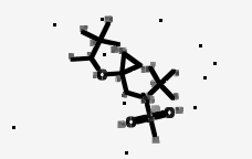 CC(OC1(CN(C(C)(C)C)S(C)(=O)=O)CC1)C(C)(C)C